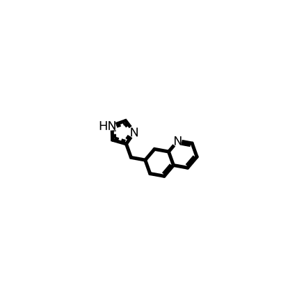 C1=CC2=CCC(Cc3c[nH]cn3)CC2N=C1